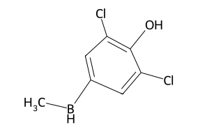 CBc1cc(Cl)c(O)c(Cl)c1